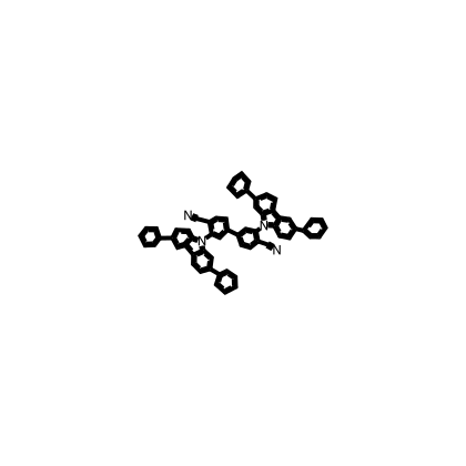 N#Cc1ccc(-c2ccc(C#N)c(-n3c4ccc(-c5ccccc5)cc4c4ccc(-c5ccccc5)cc43)c2)cc1-n1c2ccc(-c3ccccc3)cc2c2ccc(-c3ccccc3)cc21